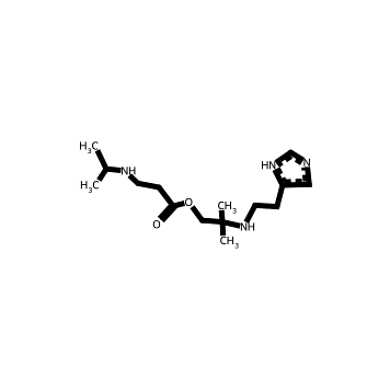 CC(C)NCCC(=O)OCC(C)(C)NCCc1cnc[nH]1